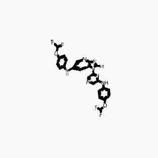 CCc1nc2ncc(Nc3ccc(OC(F)F)cc3)cc2n1-c1cncc(Nc2ccc(OC(F)F)cc2)n1